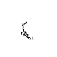 CCCCCOC(C)CCC/C=C/c1ccc(-c2ncc(O)cn2)c(F)c1F